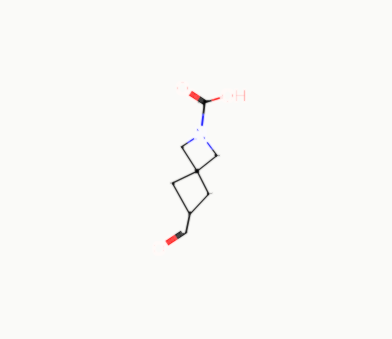 O=CC1CC2(C1)CN(C(=O)O)C2